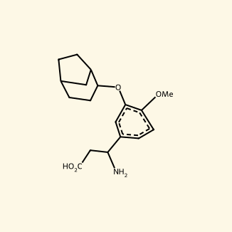 COc1ccc(C(N)CC(=O)O)cc1OC1CCC2CCC1C2